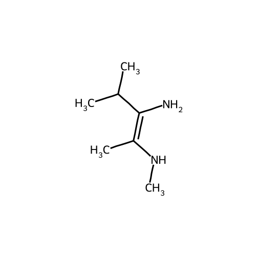 CN/C(C)=C(\N)C(C)C